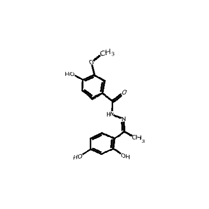 COc1cc(C(=O)NN=C(C)c2ccc(O)cc2O)ccc1O